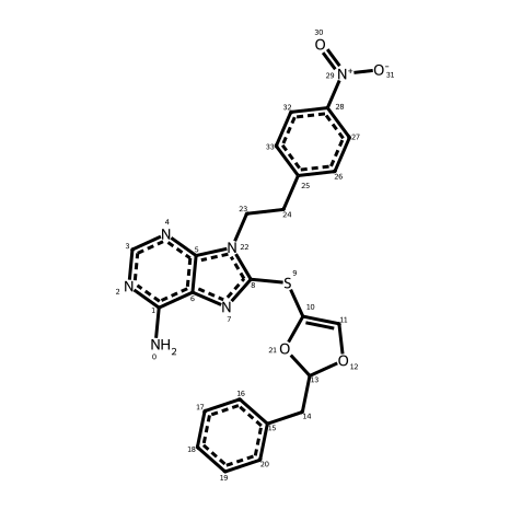 Nc1ncnc2c1nc(SC1=COC(Cc3ccccc3)O1)n2CCc1ccc([N+](=O)[O-])cc1